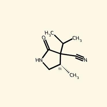 CC(C)C1(C#N)C(=O)NC[C@H]1C